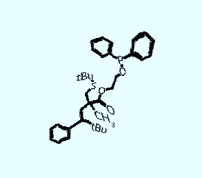 CC(C)(C)SCC(C)(CC(c1ccccc1)C(C)(C)C)C(=O)OCCOP(c1ccccc1)c1ccccc1